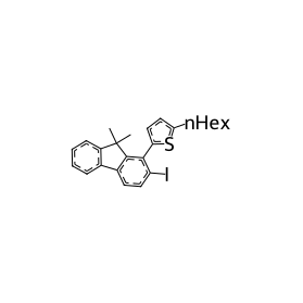 CCCCCCc1ccc(-c2c(I)ccc3c2C(C)(C)c2ccccc2-3)s1